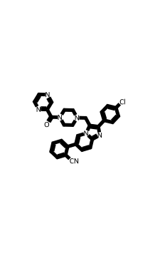 N#Cc1ccccc1-c1ccc2nc(-c3ccc(Cl)cc3)c(CN3CCN(C(=O)c4cnccn4)CC3)n2c1